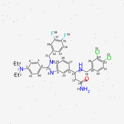 [CH2][CH]N([CH][CH2])c1ccc(-c2nc3cc(C(CC(N)=O)NCc4ccc(Cl)c(Cl)c4)ccc3n2Cc2ccc(F)c(F)c2)cc1